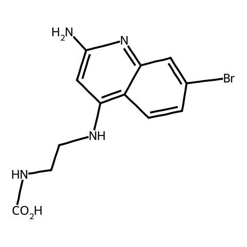 Nc1cc(NCCNC(=O)O)c2ccc(Br)cc2n1